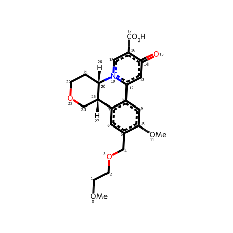 COCCOCc1cc2c(cc1OC)-c1cc(=O)c(C(=O)O)cn1[C@H]1CCOC[C@@H]21